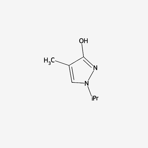 Cc1cn(C(C)C)nc1O